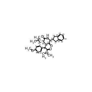 COc1ccc([C@H](C(=O)N(C)C)N2C(=O)C(C3Cc4ccccc4C3)NC(=O)[C@H]2CC(C)C)cn1